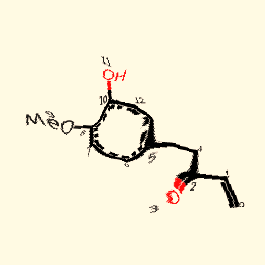 C=CC(=O)Cc1ccc(OC)c(O)c1